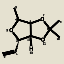 C=C[C@@H]1OC(C)C2OC(C)(C)O[C@@H]21